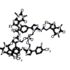 CCc1sc2c(c1CC(=O)/N=c1\scc(-c3ccc(C(F)(F)F)c(F)c3)n1COP(=O)(OCn1c(-c3ccc(C(F)(F)F)c(F)c3)cs/c1=N\C(=O)Cc1c(CC)sc3c1c(=O)n(C)c(=O)n3C)OCn1c(-c3ccc(C(F)(F)F)c(F)c3)cs/c1=N\C(=O)Cc1c(CC)sc3c1c(=O)n(C)c(=O)n3C)c(=O)n(C)c(=O)n2C